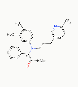 CNC(=O)[C@H](c1ccccc1)N(CCCc1ccc(C(F)(F)F)nc1)c1ccc(C)c(C)c1